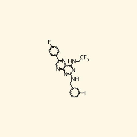 Fc1ccc(-c2cnc3nc(NCc4cccc(I)c4)nc(NCC(F)(F)F)c3n2)cc1